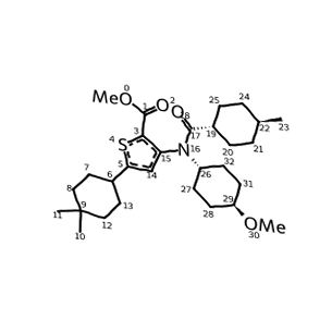 COC(=O)c1sc(C2CCC(C)(C)CC2)cc1N(C(=O)[C@H]1CC[C@H](C)CC1)[C@H]1CC[C@H](OC)CC1